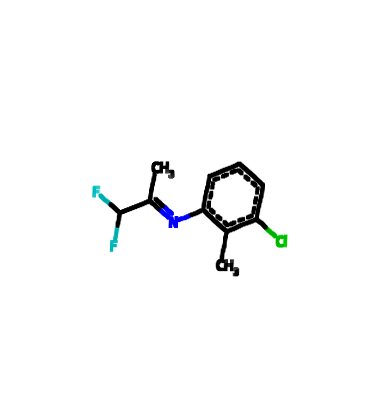 C/C(=N\c1cccc(Cl)c1C)C(F)F